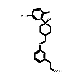 COc1ccc(F)c(C2(O)CCC(COc3cccc(CCC(=O)O)c3)CC2)c1